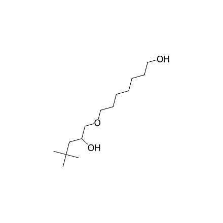 CC(C)(C)CC(O)COCCCCCCCO